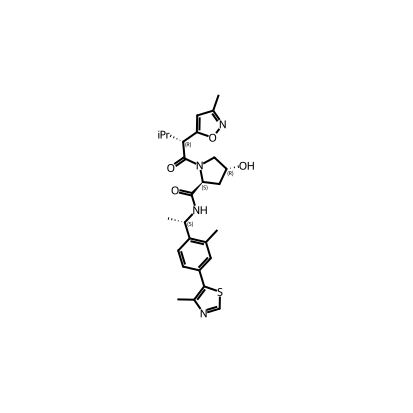 Cc1cc([C@H](C(=O)N2C[C@H](O)C[C@H]2C(=O)N[C@@H](C)c2ccc(-c3scnc3C)cc2C)C(C)C)on1